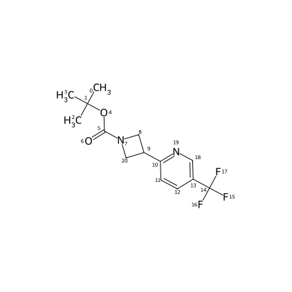 CC(C)(C)OC(=O)N1CC(c2ccc(C(F)(F)F)cn2)C1